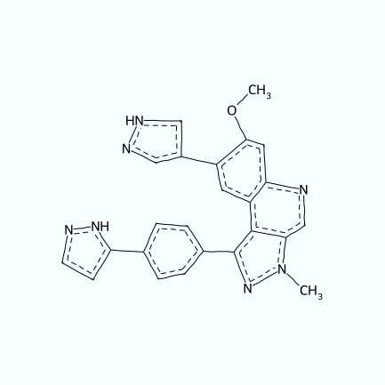 COc1cc2ncc3c(c(-c4ccc(-c5ccn[nH]5)cc4)nn3C)c2cc1-c1cn[nH]c1